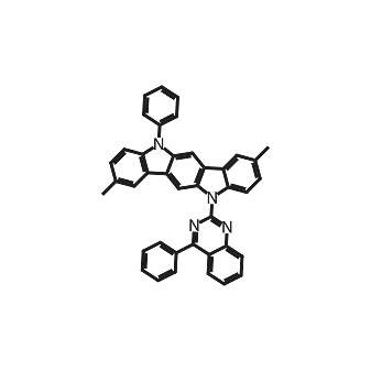 Cc1ccc2c(c1)c1cc3c(cc1n2-c1ccccc1)c1cc(C)ccc1n3-c1nc(-c2ccccc2)c2ccccc2n1